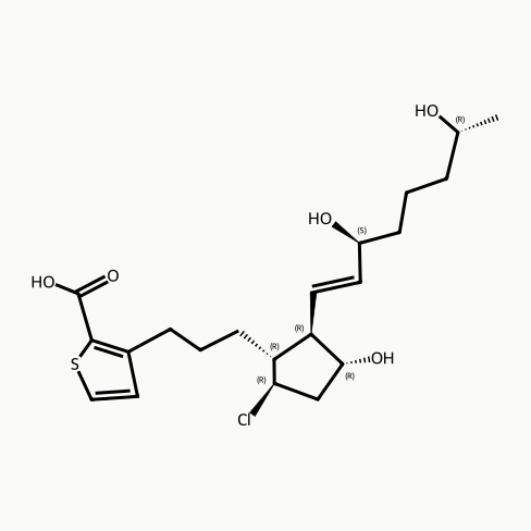 C[C@@H](O)CCC[C@H](O)C=C[C@@H]1[C@@H](CCCc2ccsc2C(=O)O)[C@H](Cl)C[C@H]1O